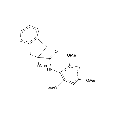 CCCCCCCCCC1(C(=O)Nc2c(OC)cc(OC)cc2OC)Cc2ccccc2C1